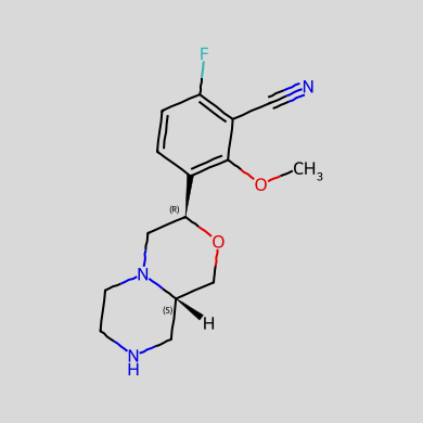 COc1c([C@@H]2CN3CCNC[C@H]3CO2)ccc(F)c1C#N